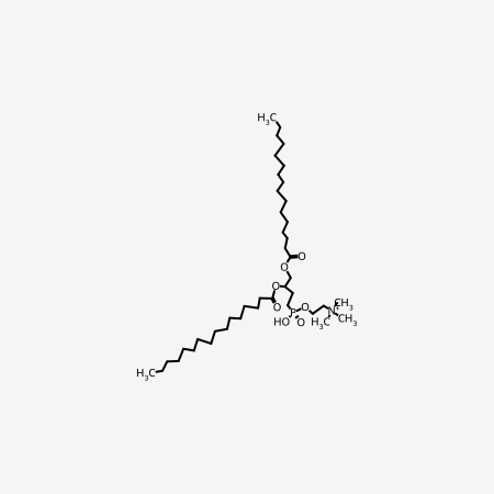 CCCCCCCCCCCCCCCC(=O)OCC(CCP(=O)(O)OCC[N+](C)(C)C)OC(=O)CCCCCCCCCCCCCCC